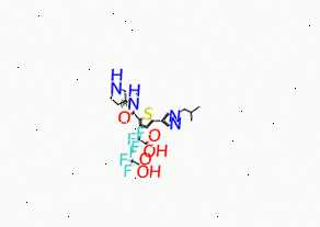 CC(C)Cn1cc(-c2ccc(C(=O)N[C@@H]3CCNC3)s2)cn1.O=C(O)C(F)(F)F.O=C(O)C(F)(F)F